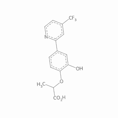 CC(Oc1ccc(-c2cc(C(F)(F)F)ccn2)cc1O)C(=O)O